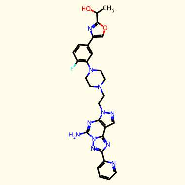 CC(O)c1nc(-c2ccc(F)c(N3CCN(CCn4ncc5c4nc(N)n4nc(-c6ccccn6)nc54)CC3)c2)co1